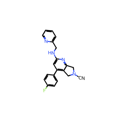 N#CN1Cc2nc(NCc3ccccn3)cc(-c3ccc(F)cc3)c2C1